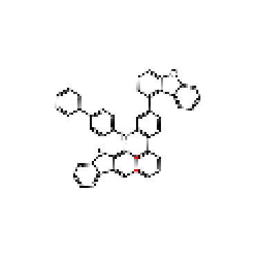 c1ccc(-c2ccc(N(c3cc(-c4cccc5oc6ccccc6c45)ccc3-c3ccccc3)c3cccc4c3sc3ccccc34)cc2)cc1